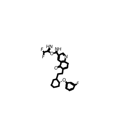 N=C(OC(=N)C(F)F)c1cnc2c(c1)C(=O)C(CCC1CCCC[C@H]1Oc1cccc(F)c1)=CC2